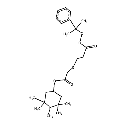 CN1C(C)(C)CC(OC(=O)CSCCC(=O)OOC(C)(C)c2ccccc2)CC1(C)C